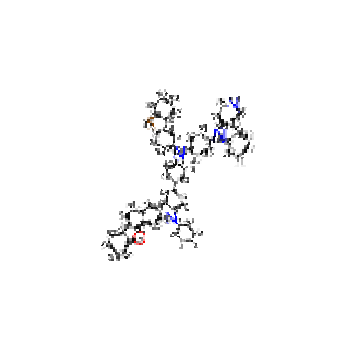 c1ccc(-n2c3ccc(-c4ccc(N(c5ccc(-n6c7ccccc7c7cnccc76)cc5)c5ccc6sc7ccccc7c6c5)cc4)cc3c3cc4ccc5c6ccccc6oc5c4cc32)cc1